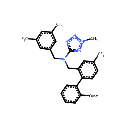 COc1ccccc1-c1ccc(C(F)(F)F)cc1CN(Cc1cc(C(F)(F)F)cc(C(F)(F)F)c1)c1nnn(C)n1